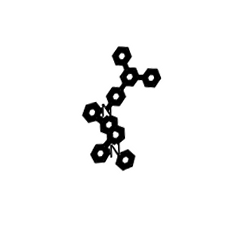 c1ccc(-c2cc(-c3ccccc3)cc(-c3ccc(-n4c5ccccc5c5cc6c(ccc7c6c6ccccc6n7-c6ccccc6)cc54)cc3)c2)cc1